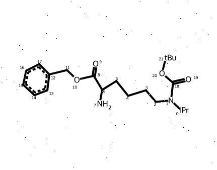 CC(C)N(CCCCC(N)C(=O)OCc1ccccc1)C(=O)OC(C)(C)C